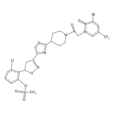 CS(=O)(=O)Oc1cccc(Cl)c1C1CC(c2csc(C3CCN(C(=O)Cn4cc(C(F)(F)F)cc(Br)c4=O)CC3)n2)=NO1